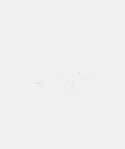 CNCCN(C)Cc1cnn(C)c1-c1cccc(CC(C)C)c1